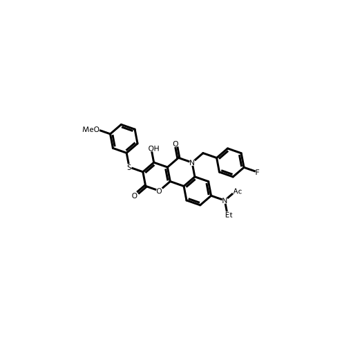 CCN(C(C)=O)c1ccc2c3oc(=O)c(Sc4cccc(OC)c4)c(O)c3c(=O)n(Cc3ccc(F)cc3)c2c1